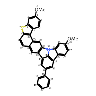 COc1ccc2c(c1)sc1ccc3cc4c5cc(-c6ccccc6)cc6c7ccc(OC)cc7n(c4cc3c12)c65